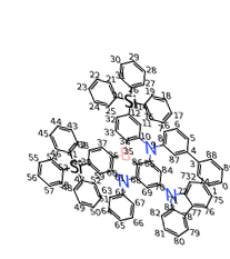 c1ccc(-c2cccc(N3c4cc([Si](c5ccccc5)(c5ccccc5)c5ccccc5)ccc4B4c5ccc([Si](c6ccccc6)(c6ccccc6)c6ccccc6)cc5N(c5ccccc5)c5cc(-n6c7ccccc7c7ccccc76)cc3c54)c2)cc1